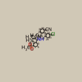 C[C@H](NC(c1cccc(S(C)(=O)=O)c1)C(C)(C)C#N)[C@@H](Cc1ccc(Cl)cc1)c1cccc(C#N)c1